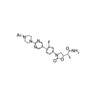 CC(=O)N1CCN(c2ncc(-c3ccc(N4CC([C@H](C)C(N)=O)OC4=O)cc3F)cn2)CC1